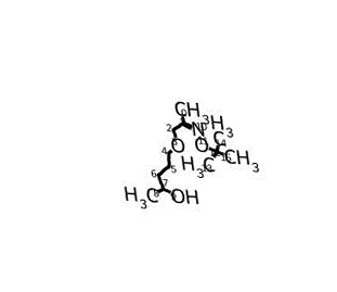 CC(COCCCC(C)O)=NOC(C)(C)C